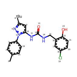 Cc1ccc(-n2nc(C(C)(C)C)cc2NC(=O)NCc2cc(Cl)ccc2O)cc1